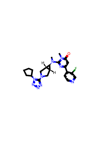 CN(c1nc(-c2ccncc2F)cc(=O)n1C)[C@@H]1[C@@H]2CN(c3nnnn3C3CCCC3)C[C@@H]21